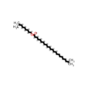 CC(C)CCCCCCCCCCCCCCCCCCCCCC(=O)OCCCCCCCC(C)C